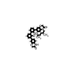 CC(=O)CC[C@H](C)CN1C(=O)COc2cc(-c3cccc(-c4cccc(-c5ccc6c(c5)OCC(=O)N6)c4Cl)c3Cl)ccc21